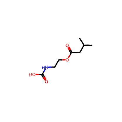 CC(C)CC(=O)OCCNC(=O)O